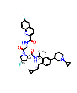 C[C@H](NC(=O)[C@@H]1C[C@@H](F)CN1C(=O)CNC(=O)c1ccc2cc(F)ccc2n1)c1cc(C2CCCN(C3CC3)C2)ccc1/C=C/C1CC1